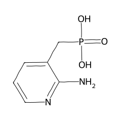 Nc1ncccc1CP(=O)(O)O